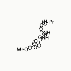 COc1ccc(COc2cccc(CCC(=O)Nc3cc([C@H]4CC[C@@H](Oc5ccc(C(C)C)nn5)C4)[nH]n3)c2C2OCCO2)cc1